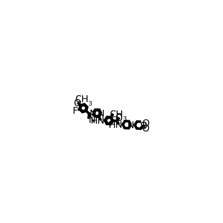 COc1ccc(-c2cnc3c(Nc4ccc(C(=O)NC5CCN(C6CCS(=O)(=O)CC6)CC5)c(C)c4)nccn23)cc1F